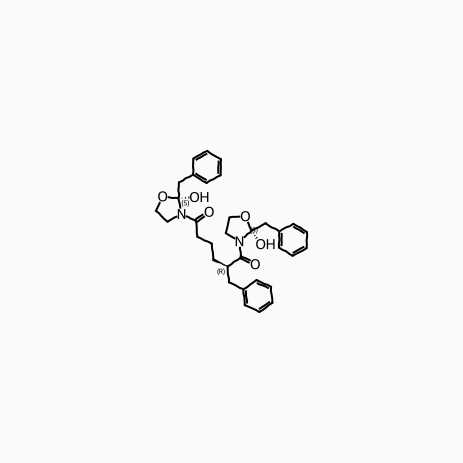 O=C(CCC[C@H](Cc1ccccc1)C(=O)N1CCO[C@@]1(O)Cc1ccccc1)N1CCO[C@@]1(O)Cc1ccccc1